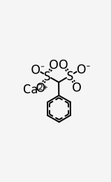 O=S(=O)([O-])C(c1ccccc1)S(=O)(=O)[O-].[Ca+2]